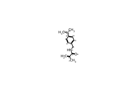 C=C(C)C(=O)NCc1ccc(N(C)C)cc1